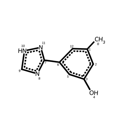 Cc1cc(O)cc(-c2nc[nH]n2)c1